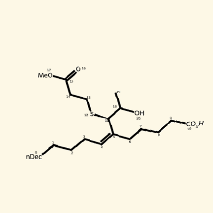 CCCCCCCCCCCCCC=C(CCCCC(=O)O)[C@@H](SCCC(=O)OC)C(C)O